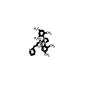 Cc1cc(C)c(N2CCN(c3c(C)cc(C)cc3C)[C]2=[Ru]([Cl])([Cl])=[CH]CCc2ccccn2)c(C)c1